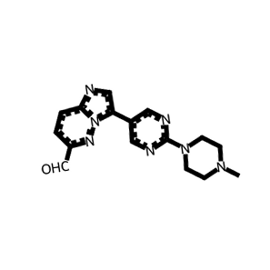 CN1CCN(c2ncc(-c3cnc4ccc(C=O)nn34)cn2)CC1